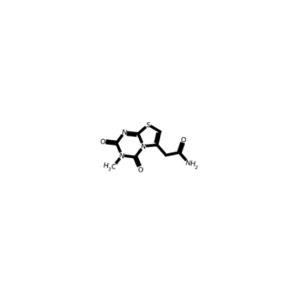 Cn1c(=O)nc2scc(CC(N)=O)n2c1=O